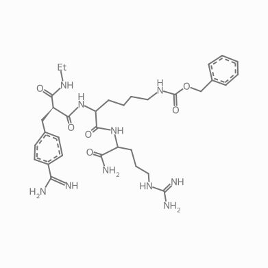 CCNC(=O)[C@H](Cc1ccc(C(=N)N)cc1)C(=O)NC(CCCCNC(=O)OCc1ccccc1)C(=O)NC(CCCNC(=N)N)C(N)=O